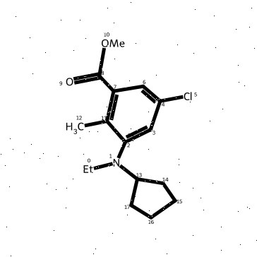 CCN(c1cc(Cl)cc(C(=O)OC)c1C)C1CCCC1